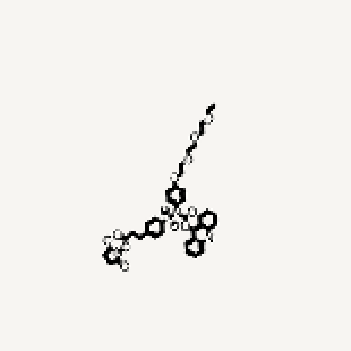 CCOCCOCCOCCOc1ccc(N(C(=O)Oc2c3ccccc3nc3ccccc23)S(=O)(=O)c2ccc(CCC(=O)ON3C(=O)CCC3=O)cc2)cc1